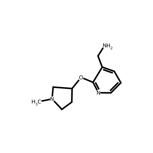 CN1CCC(Oc2ncccc2CN)C1